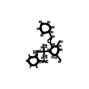 CCC(CC)(Pc1ccccc1C(C)=O)c1cc(C)cc(C)c1OCc1ccccc1